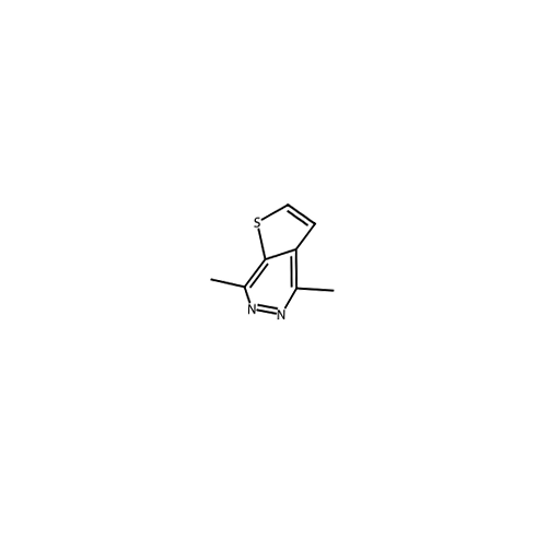 Cc1nnc(C)c2sccc12